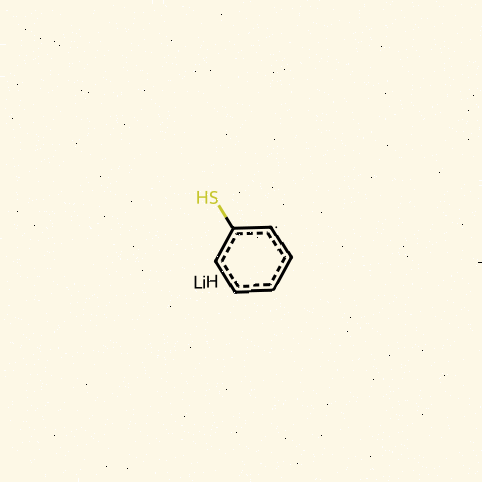 Sc1[c]cccc1.[LiH]